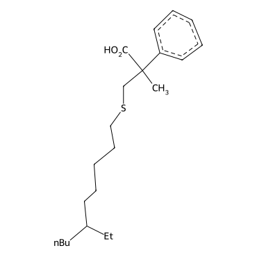 CCCCC(CC)CCCCCSCC(C)(C(=O)O)c1ccccc1